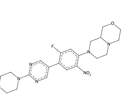 O=[N+]([O-])c1cc(-c2cnc(N3CCOCC3)nc2)c(F)cc1N1CCN2CCOCC2C1